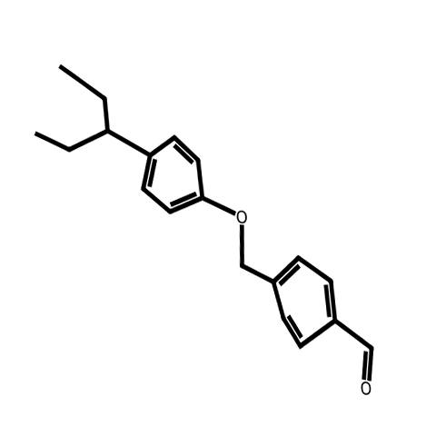 CCC(CC)c1ccc(OCc2ccc(C=O)cc2)cc1